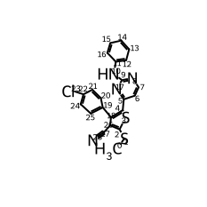 CSc1sc(-c2ccnc(Nc3ccccc3)n2)c(-c2ccc(Cl)cc2)c1C#N